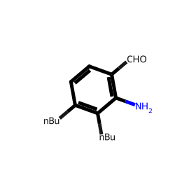 CCCCc1ccc(C=O)c(N)c1CCCC